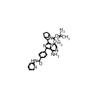 CC(C)(C)OC(=O)N1C2CCC(C2)C1c1nc(-c2ccc(C(=O)Nc3ccccn3)cc2)c2c(N)nccn12